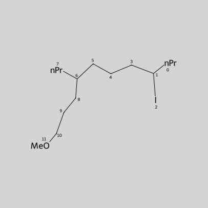 CCCC(I)CCCC(CCC)CCCOC